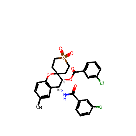 N#Cc1ccc2c(c1)[C@@H](NC(=O)c1cccc(Cl)c1)[C@H](OC(=O)c1cccc(Cl)c1)C1(CCS(=O)(=O)CC1)O2